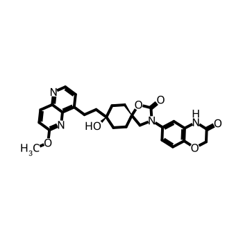 COc1ccc2nccc(CC[C@]3(O)CC[C@]4(CC3)CN(c3ccc5c(c3)NC(=O)CO5)C(=O)O4)c2n1